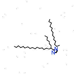 CCCCCCCCCCCCCCCCC(CCCCCC)c1nccn1C(C)CCCCCCCCCCCC